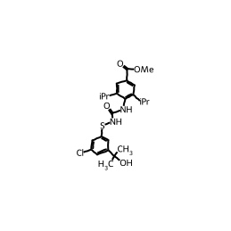 COC(=O)c1cc(C(C)C)c(NC(=O)NSc2cc(Cl)cc(C(C)(C)O)c2)c(C(C)C)c1